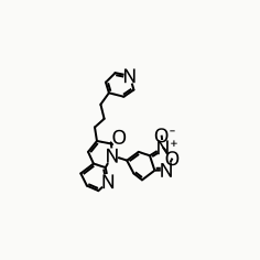 O=c1c(CCCc2ccncc2)cc2cccnc2n1-c1ccc2no[n+]([O-])c2c1